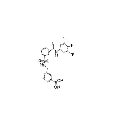 O=C(Nc1cc(F)c(F)c(F)c1)c1cccc(S(=O)(=O)NCc2cccc(B(O)O)c2)c1